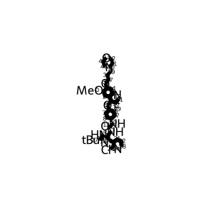 COc1cc2c(Oc3ccc(NC(=O)Nc4[nH]c(C(C)(C)C)nc4-c4cccnc4Cl)cc3F)ccnc2cc1OCCCN1CCOCC1